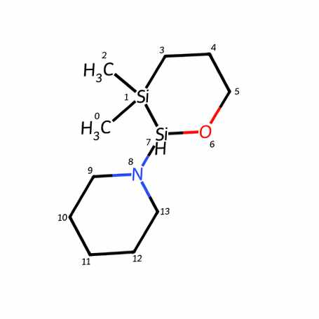 C[Si]1(C)CCCO[SiH]1N1CCCCC1